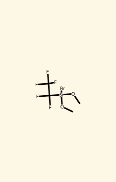 CO[Si](Br)(OC)C(F)(F)C(F)(F)F